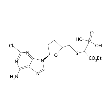 CCOC(=O)C(SCC1CC[C@H](n2cnc3c(N)nc(Cl)nc32)O1)P(=O)(O)O